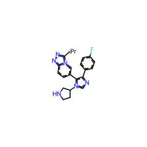 CC(C)c1nnc2ccc(-c3c(-c4ccc(F)cc4)ncn3C3CCNC3)cn12